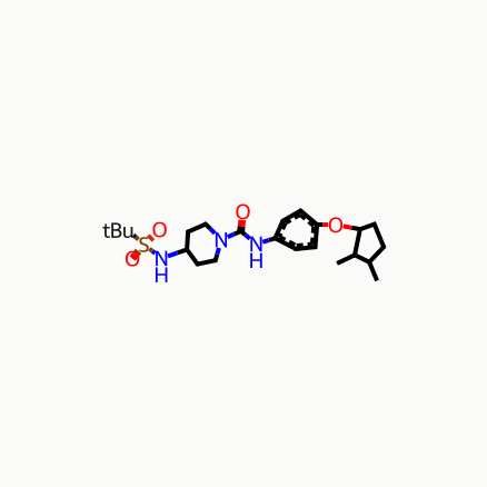 CC1CCC(Oc2ccc(NC(=O)N3CCC(NS(=O)(=O)C(C)(C)C)CC3)cc2)C1C